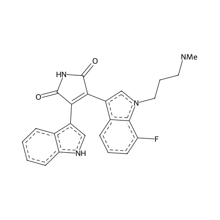 CNCCCn1cc(C2=C(c3c[nH]c4ccccc34)C(=O)NC2=O)c2cccc(F)c21